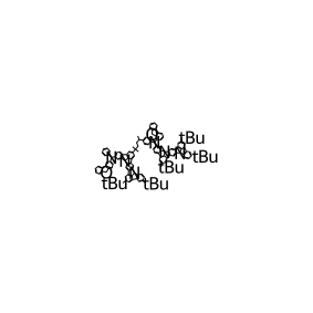 CC(CCC(C)(C)c1cc2c3ccc(N(c4ccccc4)c4ccc5oc6ccccc6c5c4)cc3n3c4cc5c6cc(C(C)(C)C)cc7c8cc(C(C)(C)C)ccc8n(c5cc4c(c1)c23)c76)c1ccc(N(c2ccc3c4cc(C(C)(C)C)cc5c6cc7c(cc6n(c3c2)c45)c2cc(C(C)(C)C)cc3c4cc(C(C)(C)C)ccc4n7c32)c2cccc3c2oc2ccccc23)cc1